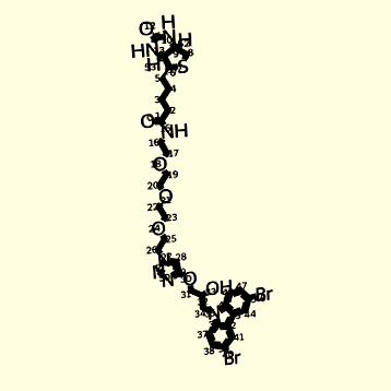 O=C(CCCC[C@@H]1SC[C@@H]2NC(=O)N[C@@H]21)NCCOCCOCCOCCn1cc(OCC(O)Cn2c3ccc(Br)cc3c3cc(Br)ccc32)nn1